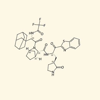 O=C1NCC[C@H]1C[C@H](NC(=O)[C@@H]1[C@H]2CC[C@H](C2)N1C(=O)[C@@H](NC(=O)C(F)(F)F)C12CC3CC(CC(C3)C1)C2)C(=O)c1nc2ccccc2s1